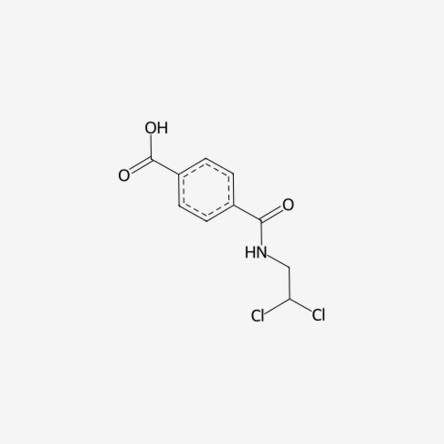 O=C(O)c1ccc(C(=O)NCC(Cl)Cl)cc1